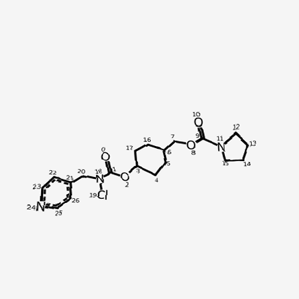 O=C(OC1CCC(COC(=O)N2CCCC2)CC1)N(Cl)Cc1ccncc1